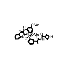 COc1cc(Nc2nc3ccccc3nc2NS(=O)(=O)c2cccc(C(C)C(=O)NC(=O)C3CNC3)c2)cc(OC)c1